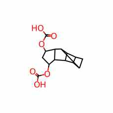 O=C(O)OC1CC(OC(=O)O)C2C1C1C3CC4C3C2C41